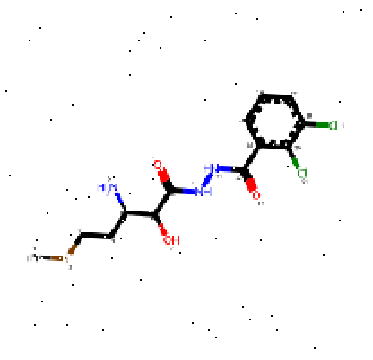 CC(C)SCC[C@@H](N)C(O)C(=O)NNC(=O)c1cccc(Cl)c1Cl